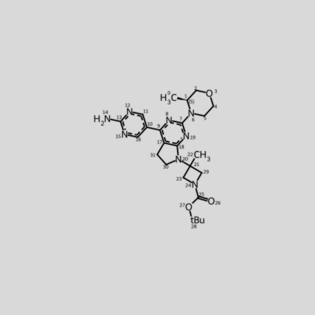 C[C@H]1COCCN1c1nc(-c2cnc(N)nc2)c2c(n1)N(C1(C)CN(C(=O)OC(C)(C)C)C1)CC2